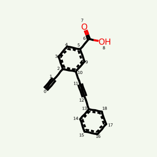 C#Cc1ccc(C(=O)O)cc1C#Cc1ccccc1